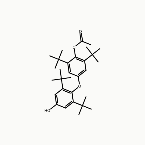 CC(=O)Oc1c(C(C)(C)C)cc(Oc2c(C(C)(C)C)cc(O)cc2C(C)(C)C)cc1C(C)(C)C